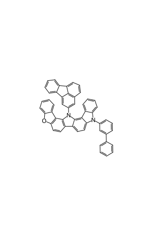 c1ccc(-c2cccc(-n3c4ccccc4c4c3ccc3c5ccc6oc7ccccc7c6c5n(-c5cc6c7c(cccc7c5)-c5ccccc5-6)c34)c2)cc1